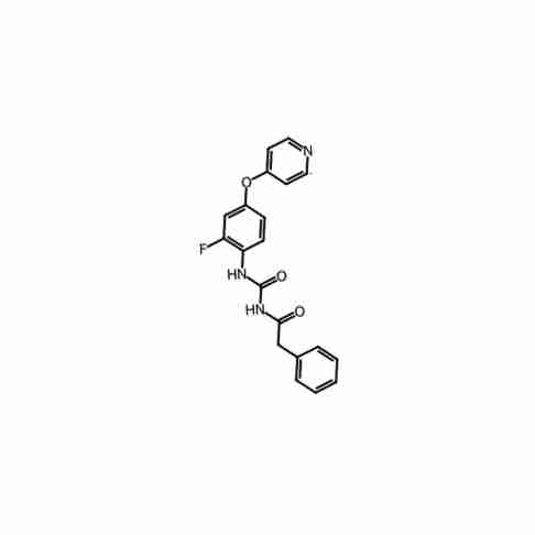 O=C(Cc1ccccc1)NC(=O)Nc1ccc(Oc2c[c]ncc2)cc1F